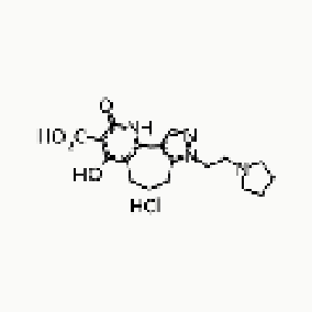 Cl.O=C(O)c1c(O)c2c([nH]c1=O)-c1cnn(CCN3CCCC3)c1CCC2